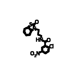 O=C(NCCCn1c(=O)sc2ccccc21)c1cc([N+](=O)[O-])ccc1Cl